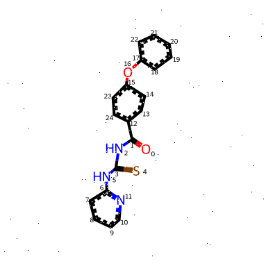 O=C(NC(=S)Nc1ccccn1)c1ccc(Oc2ccccc2)cc1